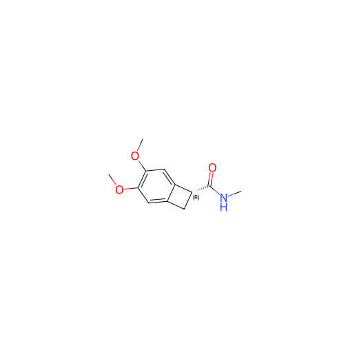 CNC(=O)[C@@H]1Cc2cc(OC)c(OC)cc21